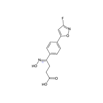 O=C(O)CC/C(=N\O)c1ccc(-c2cc(F)no2)cc1